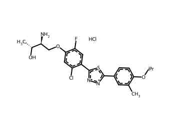 Cc1cc(-c2nnc(-c3cc(F)c(OC[C@H](N)[C@@H](C)O)cc3Cl)s2)ccc1OC(C)C.Cl